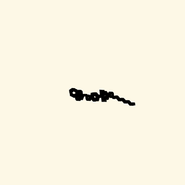 CCCCCCCCOc1cnc(-c2ccc(OC[C@@H]3COC4(CCCCC4)O3)cc2)nc1